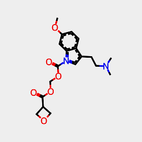 COc1ccc2c(CCN(C)C)cn(C(=O)OCOC(=O)C3COC3)c2c1